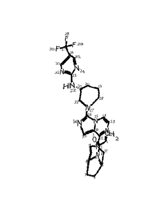 C=CC(=O)N1C2CCC1CN(c1nccn3c(N4CCC[C@@H](Nc5ncc(C(F)(F)F)cn5)C4)ncc13)C2